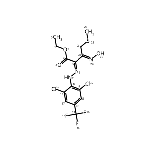 CCOC(=O)C(=NNc1c(Cl)cc(C(F)(F)F)cc1Cl)C(CSC)=NO